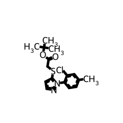 Cc1ccc(-n2nccc2SCC(=O)OC(C)(C)C)c(Cl)c1